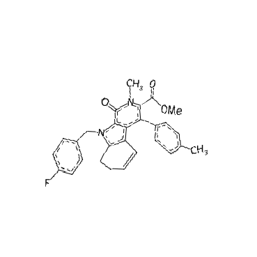 COC(=O)c1c(-c2ccc(C)cc2)c2c3c(n(Cc4ccc(F)cc4)c2c(=O)n1C)CCC=C3